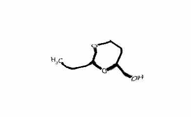 CCC1OCCC(O)O1